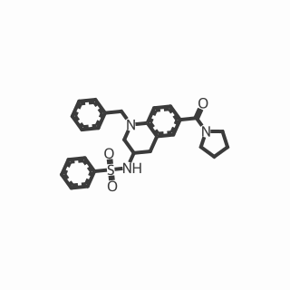 O=C(c1ccc2c(c1)CC(NS(=O)(=O)c1ccccc1)CN2Cc1ccccc1)N1CCCC1